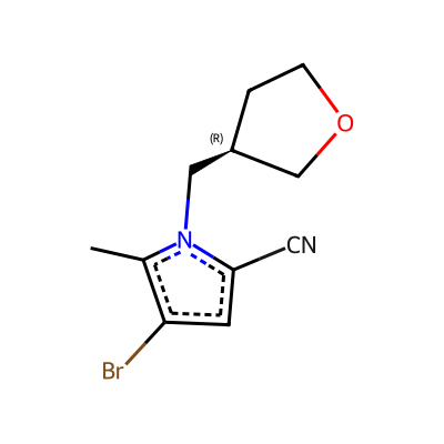 Cc1c(Br)cc(C#N)n1C[C@H]1CCOC1